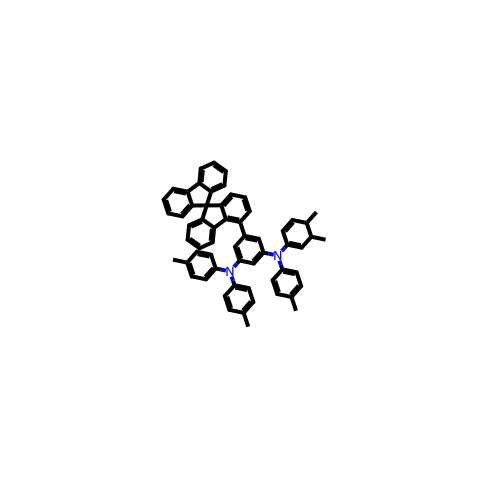 Cc1ccc(N(C2=CC(C)C(C)C=C2)c2cc(-c3cccc4c3-c3ccccc3C43c4ccccc4-c4ccccc43)cc(N(c3ccc(C)cc3)c3ccc(C)cc3)c2)cc1